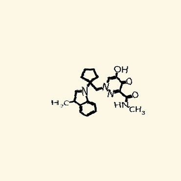 CNC(=O)c1nn(CC2(N3CC(C)c4ccccc43)CCCC2)cc(O)c1=O